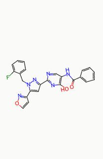 O=C(Nc1cnc(-c2cc(-c3ccon3)n(Cc3ccccc3F)n2)nc1O)c1ccccc1